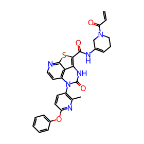 C=CC(=O)N1CCC=C(NC(=O)c2sc3nccc4c3c2NC(=O)N4c2ccc(Oc3ccccc3)nc2C)C1